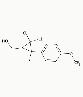 CC1(c2ccc(OC(F)(F)F)cc2)C(CO)C1(Cl)Cl